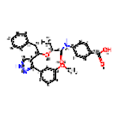 COc1cccc(-c2n[nH]cc2C(Cc2ccccc2)OC(C)C(=O)Nc2ccc(C(=O)O)cc2)c1